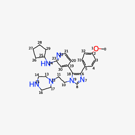 COc1ccc(-c2ncn(CCN3CCNCC3)c2-c2ccnc(NC3CCCC3)c2)cc1